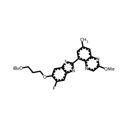 COc1cnc2c(-c3nc4cc(F)c(OC[CH]COCC(C)C)cc4s3)cc(C)cc2n1